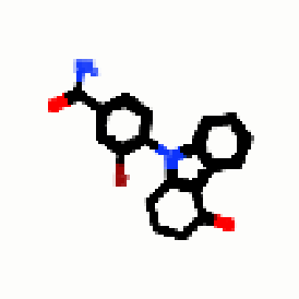 NC(=O)c1ccc(-n2c3c(c4ccccc42)C(=O)CCC3)c(Br)c1